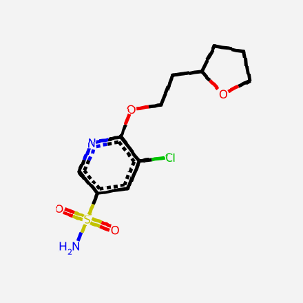 NS(=O)(=O)c1cnc(OCCC2CCCO2)c(Cl)c1